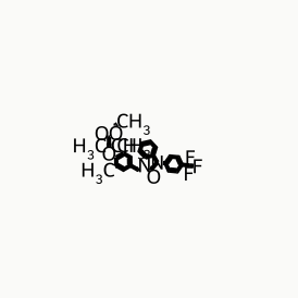 CCOC(=O)C(C)(C)Oc1c(C)cc(Cn2c(=O)n(-c3ccc(C(F)(F)F)cc3)c3ccccc32)cc1C